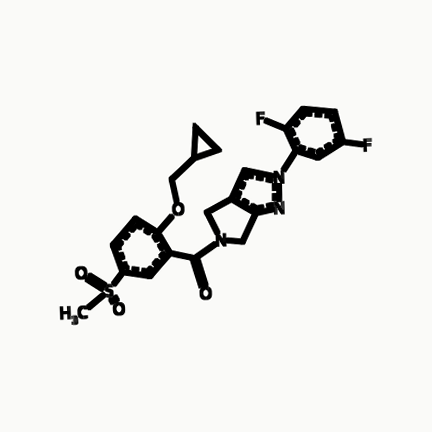 CS(=O)(=O)c1ccc(OCC2CC2)c(C(=O)N2Cc3cn(-c4cc(F)ccc4F)nc3C2)c1